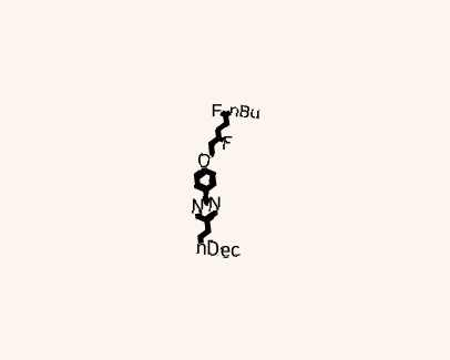 CCCCCCCCCCCCc1cnc(-c2ccc(OCCC(F)CCC(F)CCCC)cc2)nc1